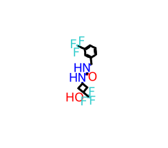 O=C(NCc1cccc(C(F)(F)F)c1)NC1CC(O)(C(F)(F)F)C1